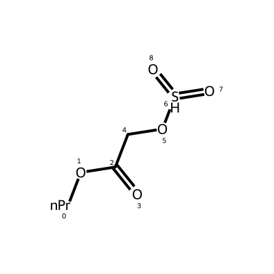 CCCOC(=O)CO[SH](=O)=O